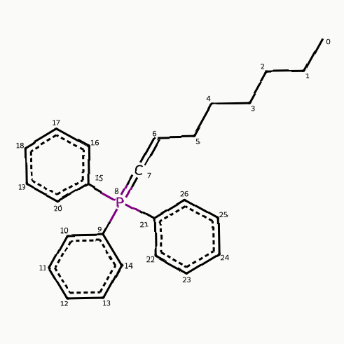 CCCCCCC=C=P(c1ccccc1)(c1ccccc1)c1ccccc1